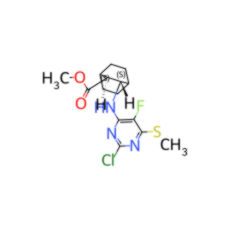 COC(=O)[C@H]1C2CCC(CC2)[C@@H]1Nc1nc(Cl)nc(SC)c1F